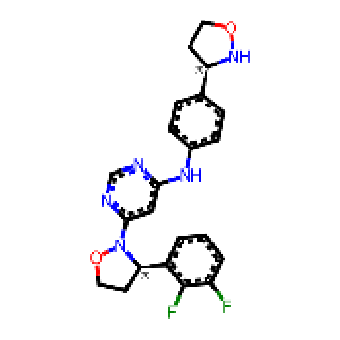 Fc1cccc([C@H]2CCON2c2cc(Nc3ccc([C@H]4CCON4)cc3)ncn2)c1F